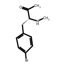 CN[C@H](Cc1ccc(Br)cc1)C(C)=O